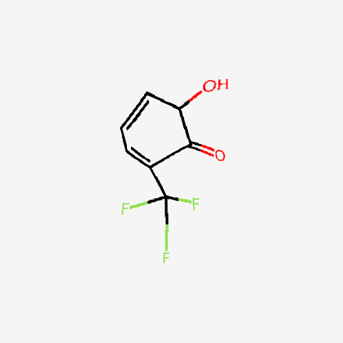 O=C1C(C(F)(F)F)=CC=CC1O